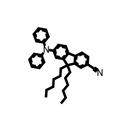 CCCCCCC1(CCCCCC)c2cc(C#N)ccc2-c2ccc(N(c3ccccc3)c3ccccc3)cc21